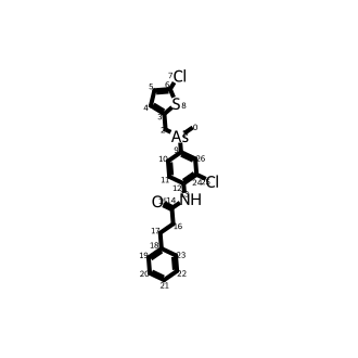 C[As](Cc1ccc(Cl)s1)c1ccc(NC(=O)CCc2ccccc2)c(Cl)c1